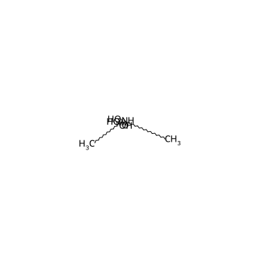 CCCCCCCCCCCCCCCCCCCC(=O)N[C@@H](CO)[C@H](O)[C@H](O)CCCCCCCCCCCCCC